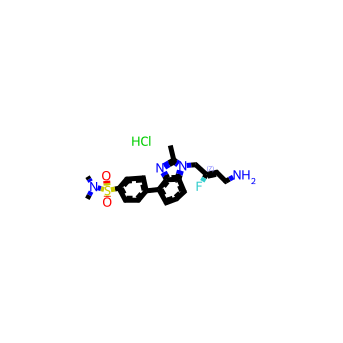 Cc1nc2c(-c3ccc(S(=O)(=O)N(C)C)cc3)cccc2n1C/C(F)=C/CN.Cl